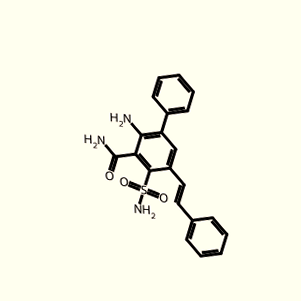 NC(=O)c1c(N)c(-c2ccccc2)cc(/C=C/c2ccccc2)c1S(N)(=O)=O